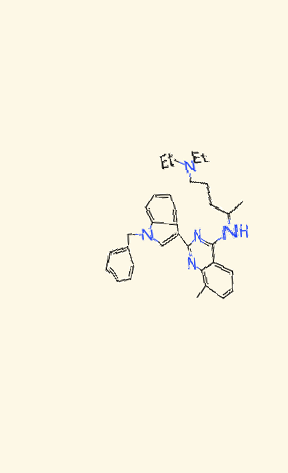 CCN(CC)CCCC(C)Nc1nc(-c2cn(Cc3ccccc3)c3ccccc23)nc2c(C)cccc12